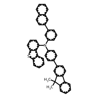 CC1(C)c2ccccc2-c2ccc(-c3ccc(N(c4cccc(-c5ccc6ccccc6c5)c4)c4cccc5sc6ccccc6c45)cc3)cc21